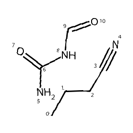 CCCC#N.NC(=O)NC=O